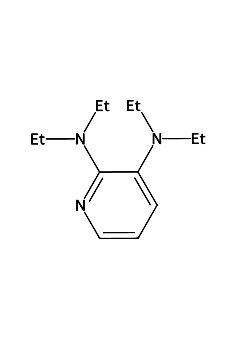 CCN(CC)c1cccnc1N(CC)CC